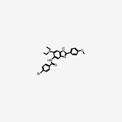 CCN(CC)c1cc2[nH]c(-c3ccc(OC)cc3)nc2cc1NC(=O)c1ccc(Br)cc1